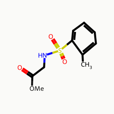 COC(=O)CNS(=O)(=O)c1ccccc1C